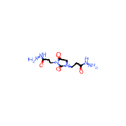 NNC(=O)CCN1CC(=O)N(CCC(=O)NN)C1=O